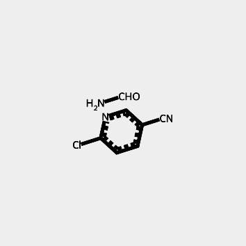 N#Cc1ccc(Cl)nc1.NC=O